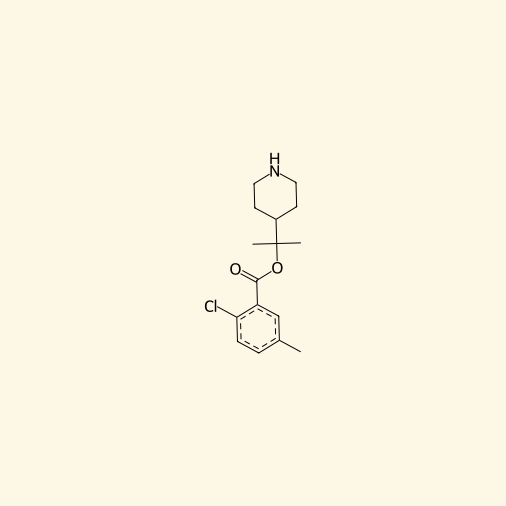 Cc1ccc(Cl)c(C(=O)OC(C)(C)C2CCNCC2)c1